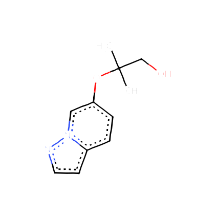 CC(C)(CO)Oc1ccc2ccnn2c1